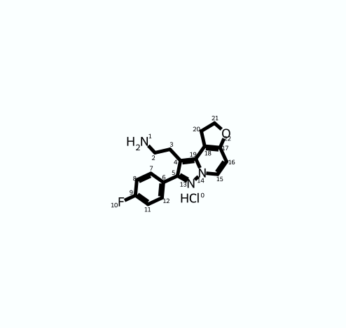 Cl.NCCc1c(-c2ccc(F)cc2)nn2ccc3c(c12)CCO3